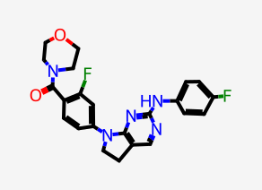 O=C(c1ccc(N2CCc3cnc(Nc4ccc(F)cc4)nc32)cc1F)N1CCOCC1